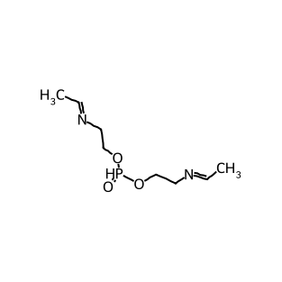 CC=NCCO[PH](=O)OCCN=CC